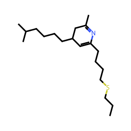 CCCSCCCCC1=CC(CCCCC(C)C)CC(C)=N1